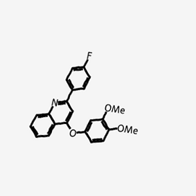 COc1ccc(Oc2cc(-c3ccc(F)cc3)nc3ccccc23)cc1OC